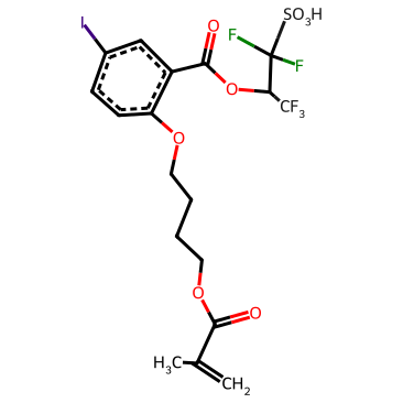 C=C(C)C(=O)OCCCCOc1ccc(I)cc1C(=O)OC(C(F)(F)F)C(F)(F)S(=O)(=O)O